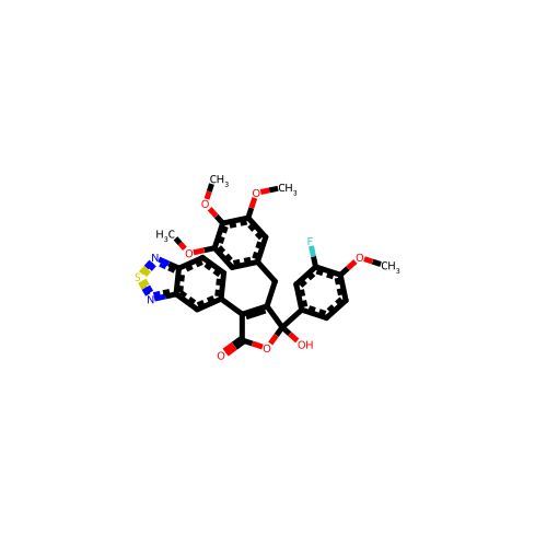 COc1ccc(C2(O)OC(=O)C(c3ccc4nsnc4c3)=C2Cc2cc(OC)c(OC)c(OC)c2)cc1F